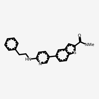 CNC(=O)c1cc2cc(-c3ccc(NCCc4ccccc4)nc3)ccc2s1